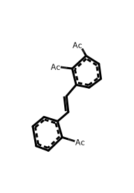 CC(=O)c1ccccc1/C=C/c1cccc(C(C)=O)c1C(C)=O